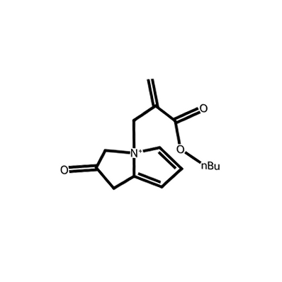 C=C(C[N+]12C=CC=C1CC(=O)C2)C(=O)OCCCC